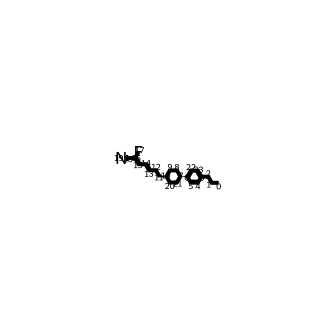 CCCc1ccc([C@H]2CC[C@H](CCC=CC=C(F)C#N)CC2)cc1